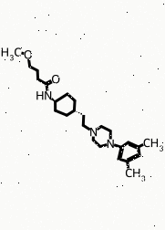 COCCCC(=O)N[C@H]1CC[C@H](CCN2CCN(c3cc(C)cc(C)c3)CC2)CC1